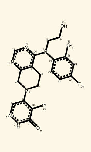 O=c1[nH]ncc(N2CCc3c(ncnc3N(CCO)c3ccc(F)cc3C(F)(F)F)C2)c1Cl